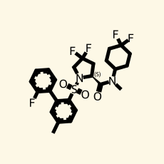 Cc1ccc(S(=O)(=O)N2CC(F)(F)C[C@H]2C(=O)N(C)C2CCC(F)(F)CC2)c(-c2ccccc2F)c1